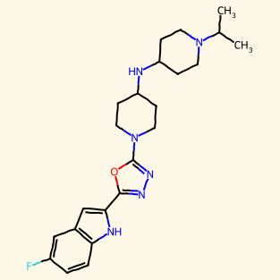 CC(C)N1CCC(NC2CCN(c3nnc(-c4cc5cc(F)ccc5[nH]4)o3)CC2)CC1